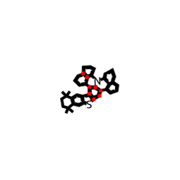 CC1(C)CCC(C)(C)c2cc3c(cc21)sc1cc(-c2cccc4cccc(N(c5ccccc5)c5ccccc5-c5ccccc5)c24)ccc13